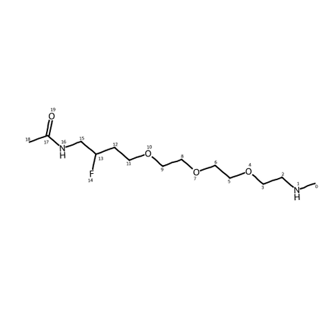 CNCCOCCOCCOCCC(F)CNC(C)=O